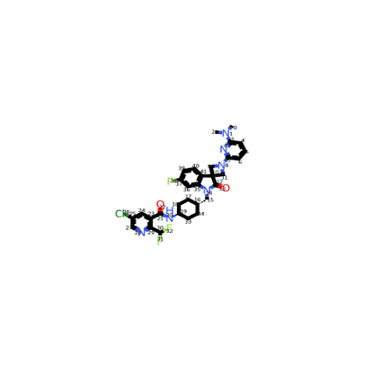 CN(C)c1cccc(N2CC3(C2)C(=O)N(C[C@H]2CC[C@H](NC(=O)c4cc(Cl)cnc4C(F)F)CC2)c2cc(F)ccc23)n1